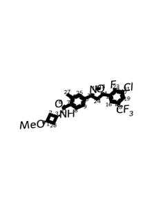 CO[C@H]1C[C@@H](NC(=O)c2ccc(C3=NOC(c4cc(C(F)(F)F)cc(Cl)c4F)C3)cc2C)C1